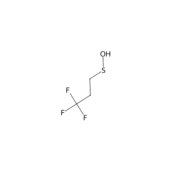 OSCCC(F)(F)F